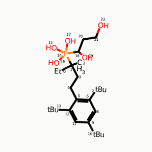 CCC(C)(CCc1c(C(C)(C)C)cc(C(C)(C)C)cc1C(C)(C)C)P(O)(O)(O)C(O)CCO